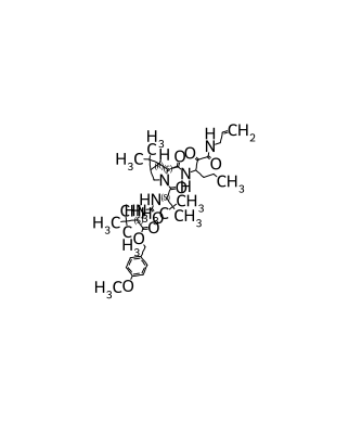 C=CCNC(=O)C(=O)C(CCC)NC(=O)[C@@H]1[C@@H]2C(CN1C(=O)[C@@H](NC(=O)N[C@H](C(=O)OCc1ccc(OC)cc1)C(C)(C)C)C(C)(C)C)C2(C)C